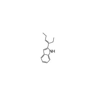 CCC=C(CC)c1cc2ccccc2[nH]1